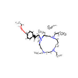 O=C([O-])CN1CCN(CC(=O)[O-])CCN([C@H](Cc2ccc(OCC(F)(F)F)cc2)C(=O)O)CCN(CC(=O)[O-])CC1.[Gd+3]